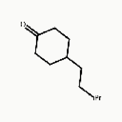 CC(C)CCC1CCC(=O)CC1